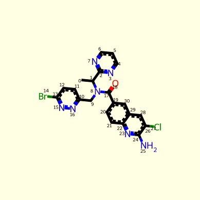 CC(c1ncccn1)N(Cc1ccc(Br)nn1)C(=O)c1ccc2nc(N)c(Cl)cc2c1